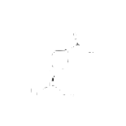 CCC(=O)N1CC[C@H](N(C)C)C1